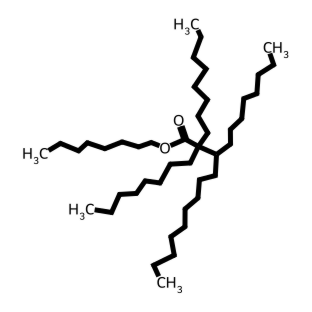 CCCCCCCCCC(CCCCCCCC)C(CCCCCCCC)(CCCCCCCC)C(=O)OCCCCCCCC